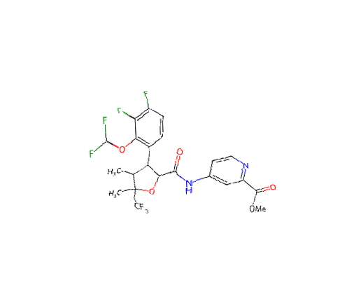 COC(=O)c1cc(NC(=O)C2OC(C)(C(F)(F)F)C(C)C2c2ccc(F)c(F)c2OC(F)F)ccn1